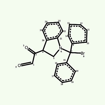 O=CC(=O)C1CN(C(Br)(c2ccccc2)c2ccccc2)c2ccccc21